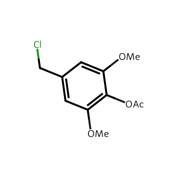 COc1cc(CCl)cc(OC)c1OC(C)=O